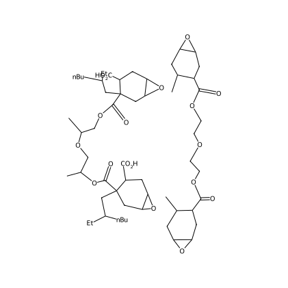 CC1CC2OC2CC1C(=O)OCCOCCOC(=O)C1CC2OC2CC1C.CCCCC(CC)CC1(C(=O)OCC(C)OCC(C)OC(=O)C2(CC(CC)CCCC)CC3OC3CC2C(=O)O)CC2OC2CC1C(=O)O